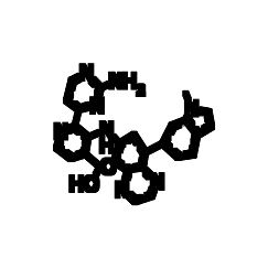 Cn1ccc2ccc(-c3cc(Nc4c(C(=O)O)ccnc4-c4ccnc(N)n4)cc4nccnc34)cc21